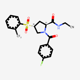 N#CCNC(=O)[C@@H]1C[C@@H](S(=O)(=O)c2ccccc2C(F)(F)F)CN1C(=O)c1ccc(F)cc1